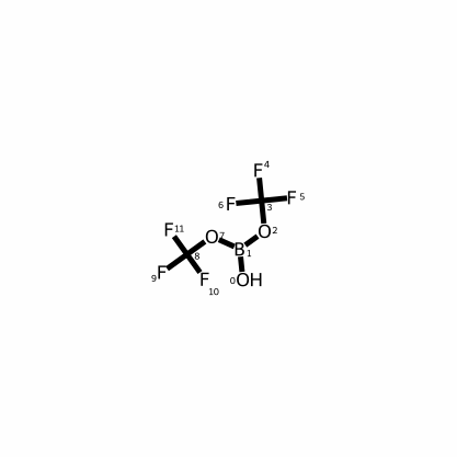 OB(OC(F)(F)F)OC(F)(F)F